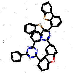 c1ccc(-c2nc(-c3ccccc3)nc(-c3cccc4oc5ccc(-c6nc(-c7cccc8c7sc7ccccc78)c7sc8ccccc8c7n6)cc5c34)n2)cc1